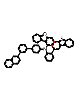 c1cc(-c2ccc(N(c3ccccc3-c3ccc4sc5ccccc5c4c3)c3cccc4oc5ccccc5c34)cc2)cc(-c2ccc3ccccc3c2)c1